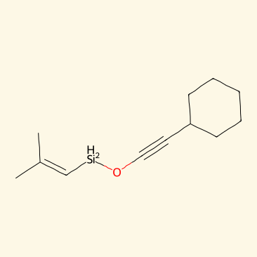 CC(C)=C[SiH2]OC#CC1CCCCC1